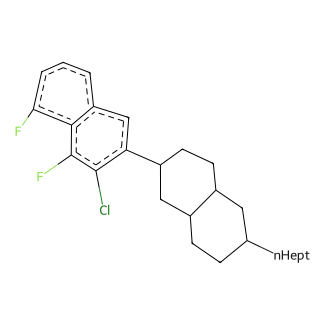 CCCCCCCC1CCC2CC(c3cc4cccc(F)c4c(F)c3Cl)CCC2C1